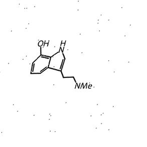 CNCCc1c[nH]c2c(O)cccc12